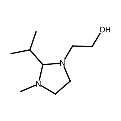 CC(C)C1N(C)CCN1CCO